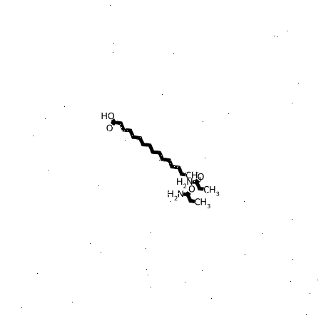 CCC(N)=O.CCC(N)=O.CCCCCCCCCCCCCCCC(=O)O